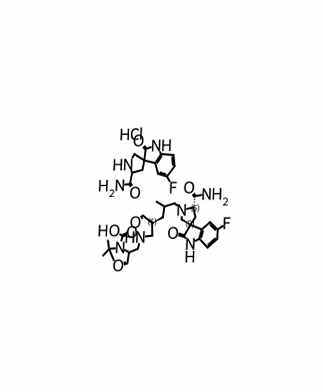 CC(C[C@H](C=O)CNCC(C=O)N(C(=O)O)C(C)(C)C)CN1C[C@]2(C[C@H]1C(N)=O)C(=O)Nc1ccc(F)cc12.Cl.NC(=O)C1CC2(CN1)C(=O)Nc1ccc(F)cc12